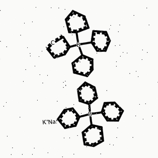 [K+].[Na+].c1ccc([B-](c2ccccc2)(c2ccccc2)c2ccccc2)cc1.c1ccc([B-](c2ccccc2)(c2ccccc2)c2ccccc2)cc1